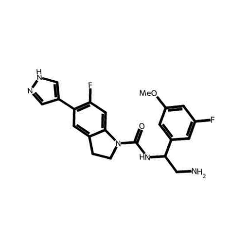 COc1cc(F)cc(C(CN)NC(=O)N2CCc3cc(-c4cn[nH]c4)c(F)cc32)c1